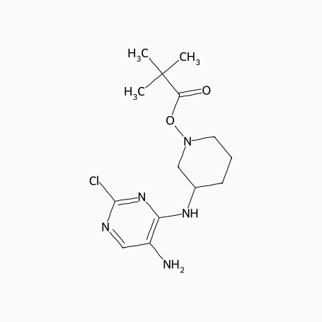 CC(C)(C)C(=O)ON1CCCC(Nc2nc(Cl)ncc2N)C1